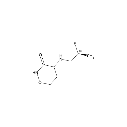 C[C@H](F)CNC1CCONC1=O